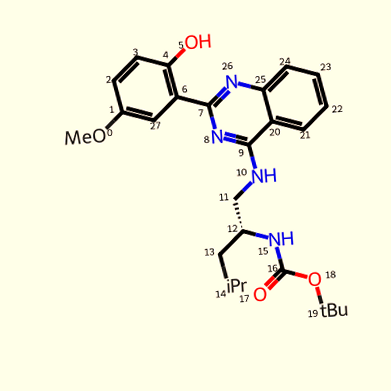 COc1ccc(O)c(-c2nc(NC[C@@H](CC(C)C)NC(=O)OC(C)(C)C)c3ccccc3n2)c1